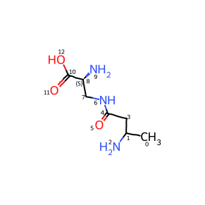 CC(N)CC(=O)NC[C@H](N)C(=O)O